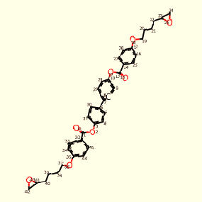 O=C(Oc1ccc(-c2ccc(OC(=O)c3ccc(OCCCCC4CO4)cc3)cc2)cc1)c1ccc(OCCCCC2CO2)cc1